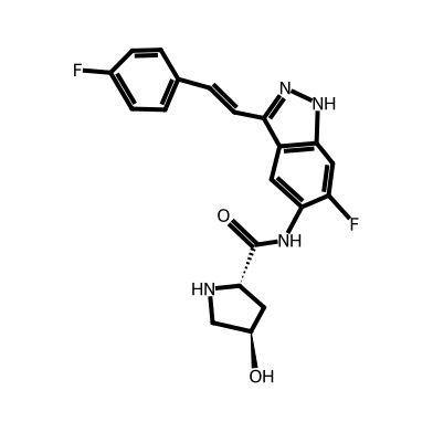 O=C(Nc1cc2c(/C=C/c3ccc(F)cc3)n[nH]c2cc1F)[C@@H]1C[C@@H](O)CN1